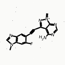 C=[N+]1N=C(C#Cc2cc3ncn(C)c3cc2F)c2c(N)ncnc21